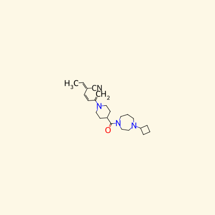 C=C(/C=C\C(C#N)=C/C)N1CCC(C(=O)N2CCCN(C3CCC3)CC2)CC1